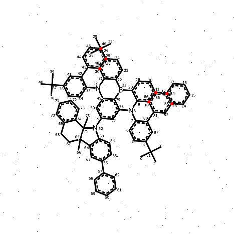 CC(C)(C)c1ccc(N2c3cc(-c4ccccc4)ccc3B3c4ccc(C(C)(C)C)cc4N(c4ccc(C(C)(C)C)cc4-c4ccccc4)c4cc(N5c6ccc(-c7ccccc7)cc6C6(C)CCc7ccccc7C56C)cc2c43)c(-c2ccccc2)c1